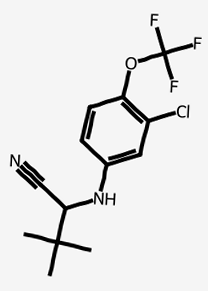 CC(C)(C)C(C#N)Nc1ccc(OC(F)(F)F)c(Cl)c1